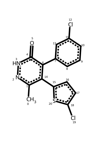 Cc1n[nH]c(=O)c(-c2cccc(Cl)c2)c1-c1ccc(Cl)s1